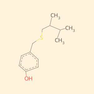 CC(C)C(C)CSCc1ccc(O)cc1